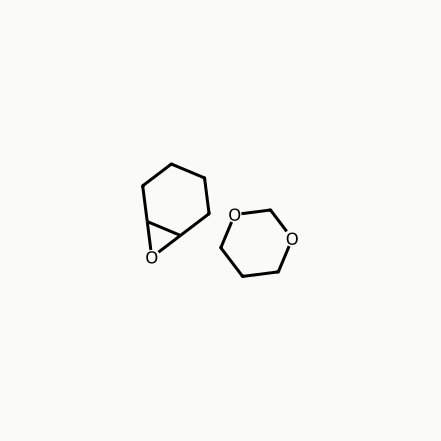 C1CCC2OC2C1.C1COCOC1